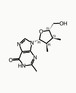 Cc1nc2c(ncn2[C@@H]2O[C@H](CO)[C@@H](C)[C@H]2C)c(=O)[nH]1